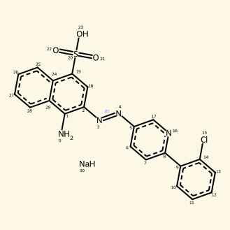 Nc1c(/N=N/c2ccc(-c3ccccc3Cl)nc2)cc(S(=O)(=O)O)c2ccccc12.[NaH]